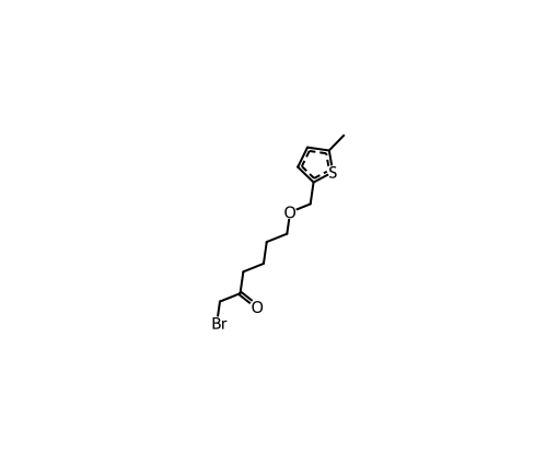 Cc1ccc(COCCCCC(=O)CBr)s1